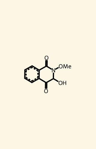 CON1C(=O)c2ccccc2C(=O)C1O